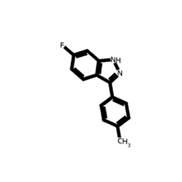 Cc1ccc(-c2n[nH]c3cc(F)ccc23)cc1